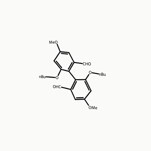 CCCCOc1cc(OC)cc(C=O)c1-c1c(C=O)cc(OC)cc1OCCCC